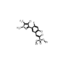 CC(C)OP(=O)(OC(C)C)/C(Cl)=C/c1cc(-c2nn(C)c(C(F)(F)F)c2Cl)c(F)cc1Cl